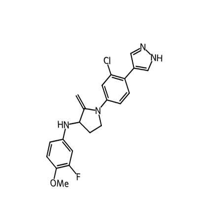 C=C1C(Nc2ccc(OC)c(F)c2)CCN1c1ccc(-c2cn[nH]c2)c(Cl)c1